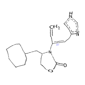 C=C/C(=C\c1c[nH]cn1)N1C(=O)OCC1CC1CCCCC1